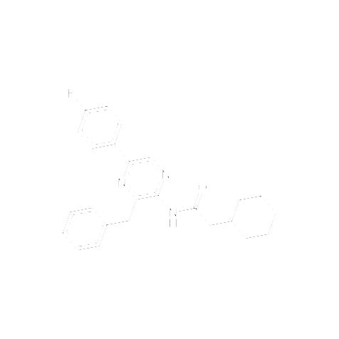 O=C(CC1CCCCC1)Nc1ncc(-c2ccc(F)cc2)nc1Cc1ccccc1